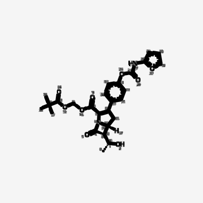 C[C@@H](O)[C@H]1C(=O)N2C(C(=O)OCOC(=O)C(C)(C)C)=C(c3ccc(OC(=O)Nc4ccco4)cc3)C[C@H]12